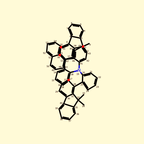 CC1(C)c2ccccc2-c2ccc(-c3ccccc3N(c3ccccc3-c3cccc4c3C(C)(C)c3ccccc3-4)c3ccccc3-c3cccc4ccccc34)cc21